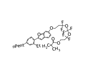 C=C(C)C(=O)OCCC(F)(F)OC(F)(F)OC(F)(F)CCOc1ccc2cc(-c3ccc(CCCCC)cc3CC)oc2c1